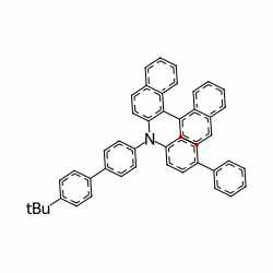 CC(C)(C)c1ccc(-c2ccc(N(c3ccc(-c4ccccc4)cc3)c3ccc4ccccc4c3-c3cccc4ccccc34)cc2)cc1